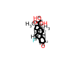 C[C@H]1C[C@H]2[C@@H]3C[C@H](F)C4=CC(=O)CC[C@]4(C)[C@H]3CC[C@]2(C)[C@@]1(O)C(=O)CO